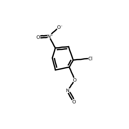 O=NOc1ccc([N+](=O)[O-])cc1Cl